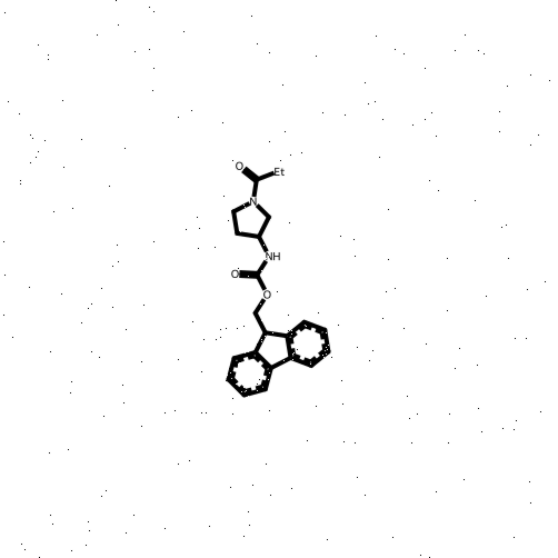 CCC(=O)N1CCC(NC(=O)OCC2c3ccccc3-c3ccccc32)C1